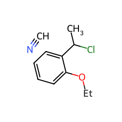 C#N.CCOc1ccccc1C(C)Cl